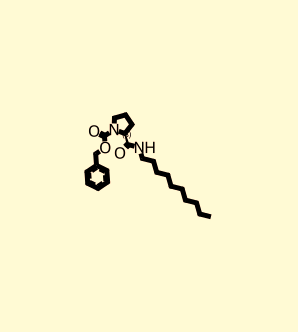 CCCCCCCCCCNC(=O)[C@@H]1CCCN1C(=O)OCc1ccccc1